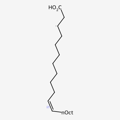 CCCCCCCC/C=C\CCCCCCC[CH]CC(=O)O